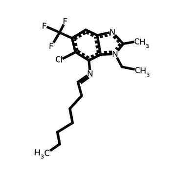 CCCCCCC=Nc1c(Cl)c(C(F)(F)F)cc2nc(C)n(CC)c12